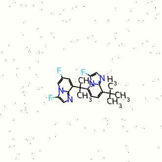 CC(C)(C)c1ccc(C(C)(C)c2cc(F)cn3c(F)cnc23)n2c(F)cnc12